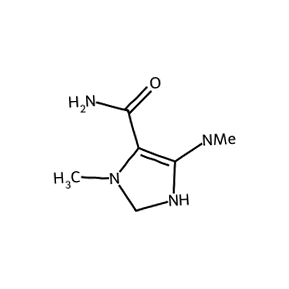 CNC1=C(C(N)=O)N(C)CN1